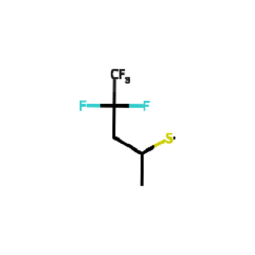 CC([S])CC(F)(F)C(F)(F)F